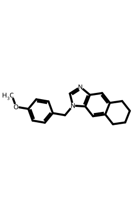 COc1ccc(Cn2cnc3cc4c(cc32)CCCC4)cc1